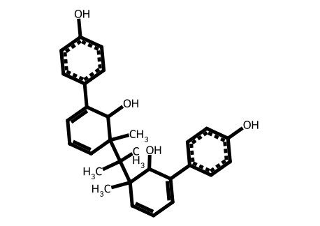 CC1(C(C)(C)C2(C)C=CC=C(c3ccc(O)cc3)C2O)C=CC=C(c2ccc(O)cc2)C1O